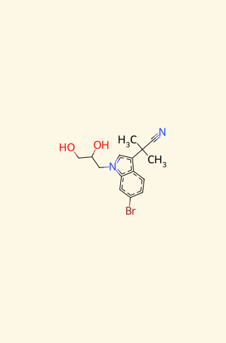 CC(C)(C#N)c1cn(CC(O)CO)c2cc(Br)ccc12